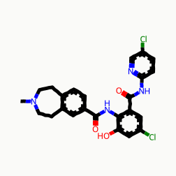 CN1CCc2ccc(C(=O)Nc3c(O)cc(Cl)cc3C(=O)Nc3ccc(Cl)cn3)cc2CC1